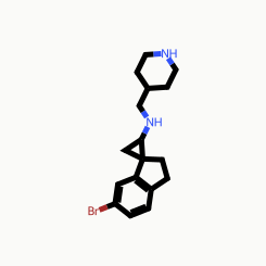 Brc1ccc2c(c1)C1(CC2)CC1NCC1CCNCC1